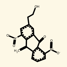 C=C1c2cccc([N+](=O)[O-])c2C(=O)c2cc(CCO)cc([N+](=O)[O-])c21